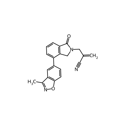 C=C(C#N)CN1Cc2c(cccc2-c2ccc3onc(C)c3c2)C1=O